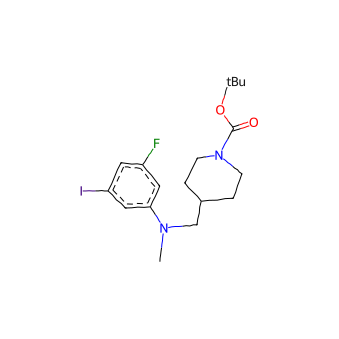 CN(CC1CCN(C(=O)OC(C)(C)C)CC1)c1cc(F)cc(I)c1